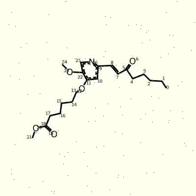 CCCCCC(=O)C=Cc1cc(OCCCCCC(=O)OC)c(OC)cn1